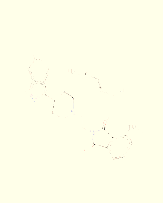 O=C(O)C=CC(=O)O.O=C1c2cccc([N+](=O)[O-])c2C(=O)N1CCN1CCC(c2noc3cc(F)ccc23)CC1